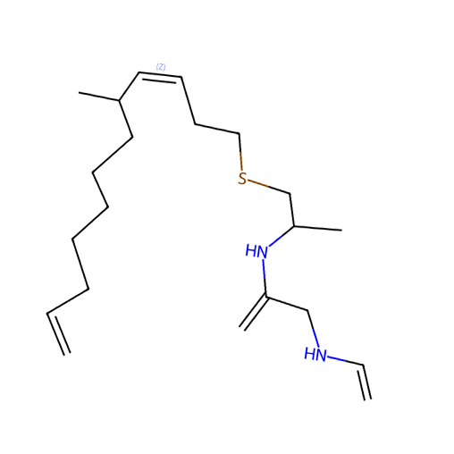 C=CCCCCCC(C)/C=C\CCSCC(C)NC(=C)CNC=C